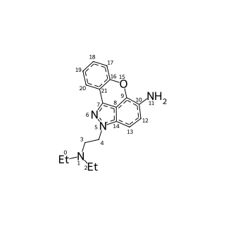 CCN(CC)CCn1nc2c3c(c(N)ccc31)Oc1ccccc1-2